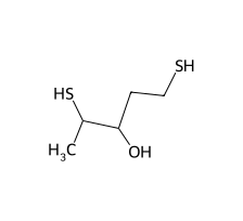 CC(S)C(O)CCS